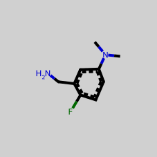 CN(C)c1ccc(F)c(CN)c1